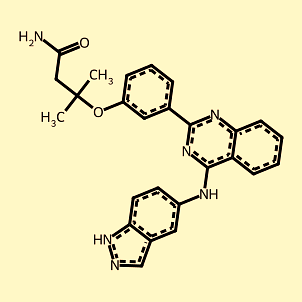 CC(C)(CC(N)=O)Oc1cccc(-c2nc(Nc3ccc4[nH]ncc4c3)c3ccccc3n2)c1